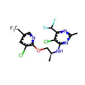 Cc1nc(N[C@@H](C)COc2ncc(C(F)(F)F)cc2Cl)c(Cl)c(C(F)F)n1